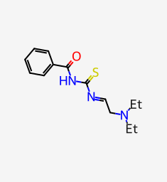 CCN(CC)C/C=N/C(=S)NC(=O)c1ccccc1